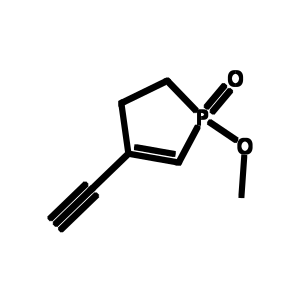 C#CC1=CP(=O)(OC)CC1